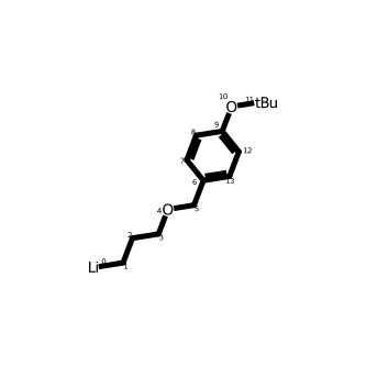 [Li][CH2]CCOCc1ccc(OC(C)(C)C)cc1